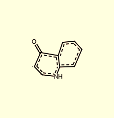 O=c1[c][c][nH]c2ccccc12